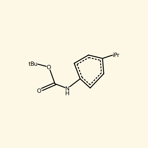 CC(C)c1ccc(NC(=O)OC(C)(C)C)cc1